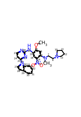 COc1cc(N(C)CCN2CCCC2)c([N+](=O)[O-])cc1Nc1nccc(-n2ccc3ccccc32)n1